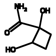 NC(=O)C1(O)CCC1O